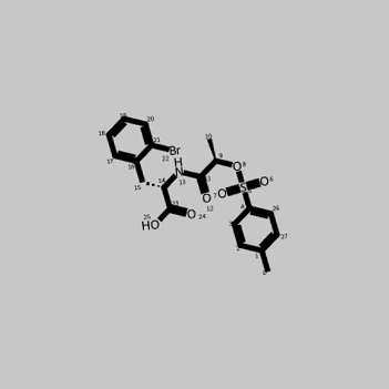 Cc1ccc(S(=O)(=O)O[C@H](C)C(=O)N[C@@H](Cc2ccccc2Br)C(=O)O)cc1